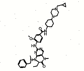 CCC1C(=O)N(C)c2cnc(Nc3ccc(C(=O)NC4CCC(N5CCN(CC6CC6)CC5)CC4)cc3OC)nc2N1N(C)Cc1ccccc1